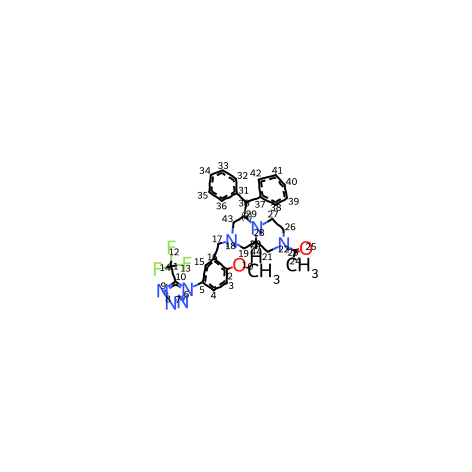 COc1ccc(-n2nnnc2C(F)(F)F)cc1CN1C[C@H]2CN(C(C)=O)CCN2[C@H](C(c2ccccc2)c2ccccc2)C1